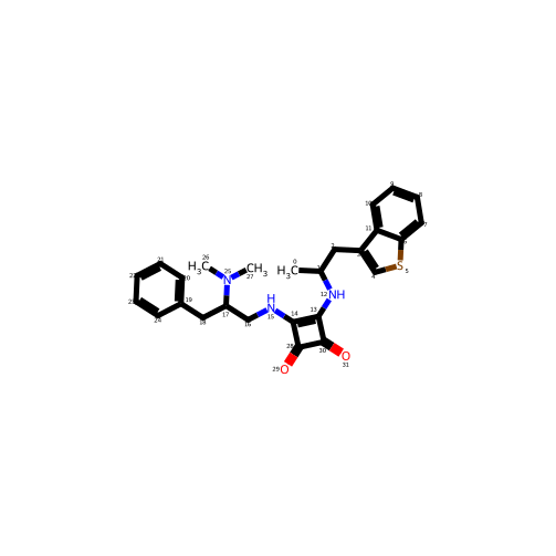 CC(Cc1csc2ccccc12)Nc1c(NCC(Cc2ccccc2)N(C)C)c(=O)c1=O